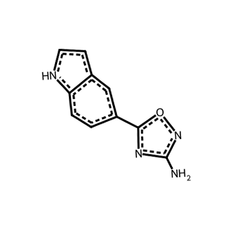 Nc1noc(-c2ccc3[nH]ccc3c2)n1